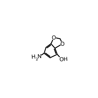 Nc1cc(O)c2c(c1)OCO2